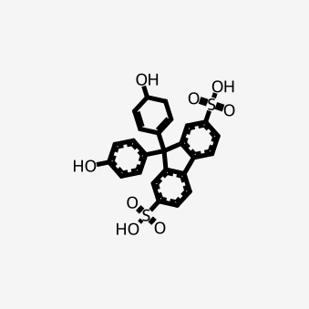 O=S(=O)(O)c1ccc2c(c1)C(C1=CCC(O)C=C1)(c1ccc(O)cc1)c1cc(S(=O)(=O)O)ccc1-2